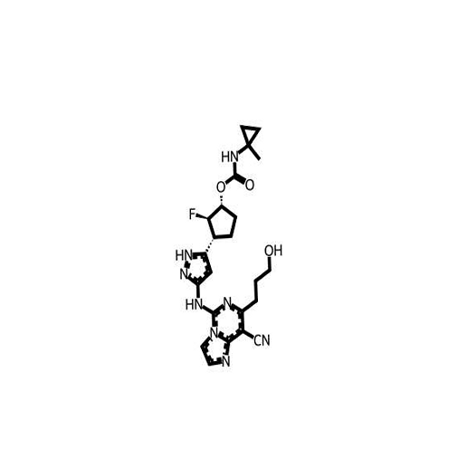 CC1(NC(=O)O[C@@H]2CC[C@H](c3cc(Nc4nc(CCCO)c(C#N)c5nccn45)n[nH]3)[C@H]2F)CC1